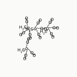 C=Cc1c(CCCCOCC2CO2)ccc(CCCCOCC2CO2)c1CCCCOCC1CO1.C=Cc1cc(CCCCOCC2CO2)c(CCCCOCC2CO2)c(CCCCOCC2CO2)c1.C=Cc1cc(CCCCOCC2CO2)cc(CCCCOCC2CO2)c1CCCCOCC1CO1.C=Cc1ccc(CCCCOCC2CO2)c(CCCCOCC2CO2)c1CCCCOCC1CO1